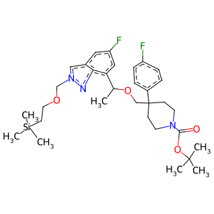 CC(OCC1(c2ccc(F)cc2)CCN(C(=O)OC(C)(C)C)CC1)c1cc(F)cc2cn(COCC[Si](C)(C)C)nc12